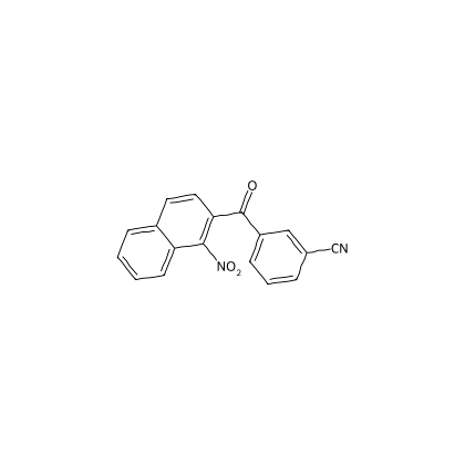 N#Cc1cccc(C(=O)c2ccc3ccccc3c2[N+](=O)[O-])c1